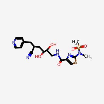 CN(c1nc(C(=O)NCC(O)C(O)CC(C#N)Cc2ccncc2)cs1)S(C)(=O)=O